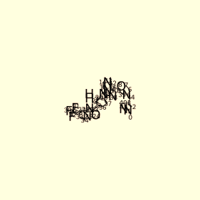 Cn1cc(CN2CCO[C@@H](C3=C4C=NC=C[N+]4(N)C(c4ccc(C(=O)Nc5cc(C(F)(F)F)ccn5)cc4)=N3)C2)cn1